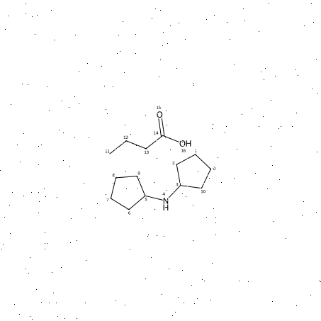 C1CCC(NC2CCCC2)C1.CCCC(=O)O